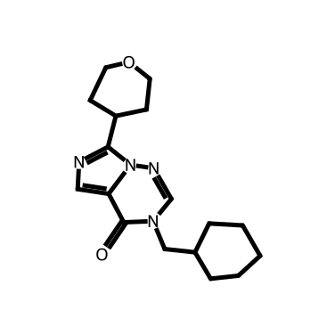 O=c1c2cnc(C3CCOCC3)n2ncn1CC1CCCCC1